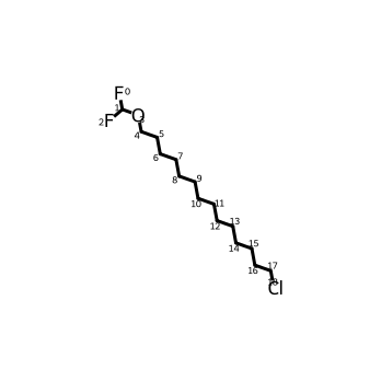 FC(F)OCCCCCCCCCCCCCCCl